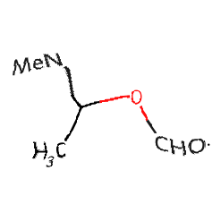 CNC(C)O[C]=O